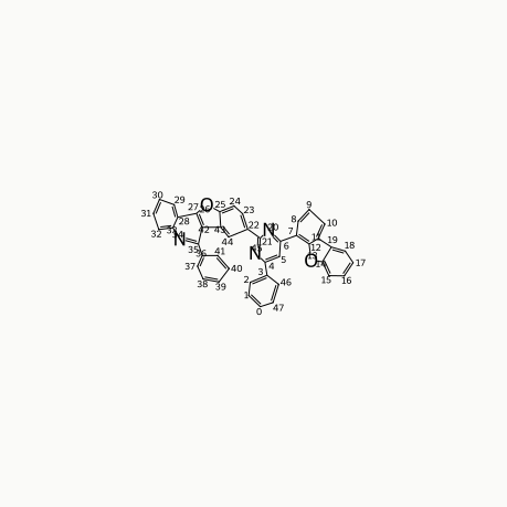 c1ccc(-c2cc(-c3cccc4c3oc3ccccc34)nc(-c3ccc4oc5c6ccccc6nc(-c6ccccc6)c5c4c3)n2)cc1